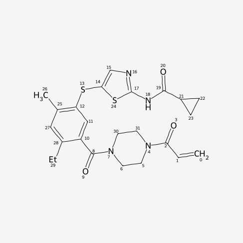 C=CC(=O)N1CCN(C(=O)c2cc(Sc3cnc(NC(=O)C4CC4)s3)c(C)cc2CC)CC1